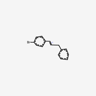 Brc1ccc(/C=C/Cc2ccccc2)cc1